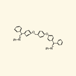 CC(C)N=C=C(c1ccccc1)c1ccc(OCc2ccc(Oc3ccc(C(=C=NC(C)C)c4ccccc4)cc3)cc2)cc1